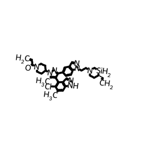 C=CC(=O)N1CCC(n2nc(-c3ccc4c(cnn4CCN4CC[C@H](C=C)[SiH2]C4)c3)c(-c3c(Cl)c(C)cc4[nH]ncc34)c2C)CC1